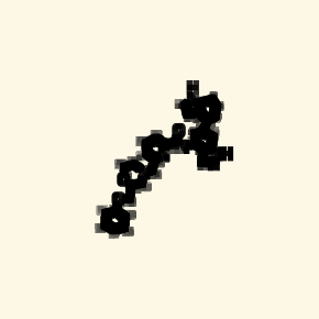 O=C(Nc1cc(-c2cccc3[nH]ccc23)cc2[nH]ncc12)c1cccc(CN2CCOC(COc3ccccc3)C2)n1